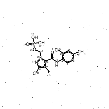 Cc1ccc(NC(=O)c2c(F)c(Cl)nn2COP(=O)(O)O)c(Cl)c1